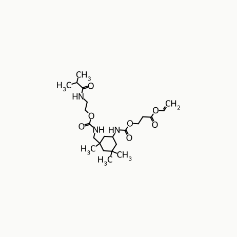 C=COC(=O)CCOC(=O)NC1CC(C)(C)CC(C)(CNC(=O)OCCNC(=O)C(C)C)C1